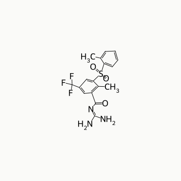 Cc1ccccc1S(=O)(=O)c1cc(C(F)(F)F)cc(C(=O)N=C(N)N)c1C